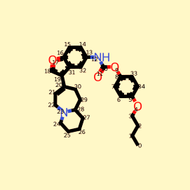 CCCCOc1ccc(OC(=O)Nc2ccc3occ(C4=CCN5CCCCC5CC4)c3c2)cc1